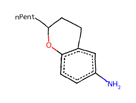 CCCCCC1CCc2cc(N)ccc2O1